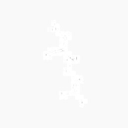 CCOC(=O)NCC=C(C)C